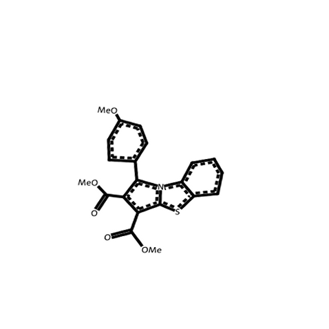 COC(=O)c1c(C(=O)OC)c2sc3ccccc3n2c1-c1ccc(OC)cc1